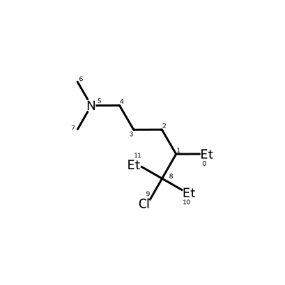 CCC(CCCN(C)C)C(Cl)(CC)CC